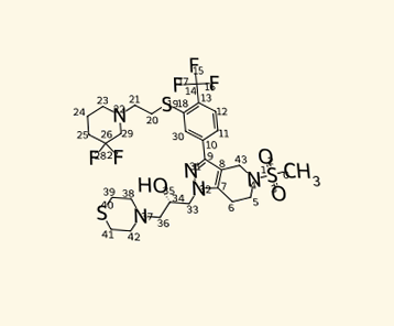 CS(=O)(=O)N1CCc2c(c(-c3ccc(C(F)(F)F)c(SCCN4CCCC(F)(F)C4)c3)nn2C[C@@H](O)CN2CCSCC2)C1